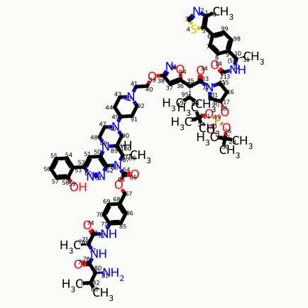 Cc1ncsc1-c1ccc([C@H](C)NC(=O)[C@@H]2C[C@@H](OP(=O)(OC(C)(C)C)OC(C)(C)C)CN2C(=O)[C@@H](c2cc(OCCN3CCC(N4CCN5c6cc(-c7ccccc7O)nnc6N(C(=O)OCc6ccc(NC(=O)[C@H](C)NC(=O)[C@@H](N)C(C)C)cc6)[C@@H](C)[C@@H]5C4)CC3)no2)C(C)C)cc1